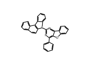 c1ccc(-c2nc(-n3c4ccccc4c4c5ccccc5ccc43)nc3c2oc2ccccc23)cc1